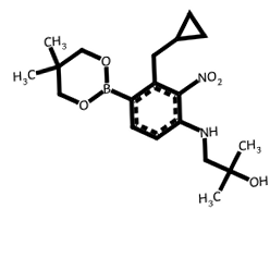 CC(C)(O)CNc1ccc(B2OCC(C)(C)CO2)c(CC2CC2)c1[N+](=O)[O-]